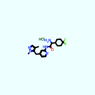 Cc1cnn(C)c1Cc1ccnc(NC(=O)C(N)C2CCC(F)(F)CC2)c1.Cl